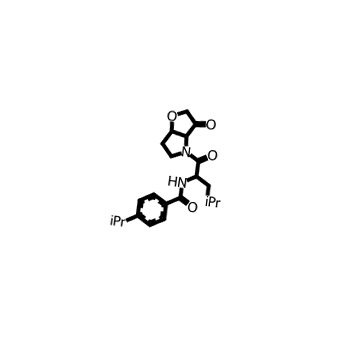 CC(C)CC(NC(=O)c1ccc(C(C)C)cc1)C(=O)N1CCC2OCC(=O)C21